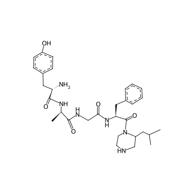 CC(C)CC1CNCCN1C(=O)[C@H](Cc1ccccc1)NC(=O)CNC(=O)[C@@H](C)NC(=O)[C@@H](N)Cc1ccc(O)cc1